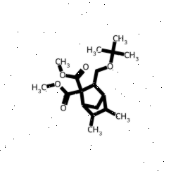 COC(=O)C1(C(=O)OC)C2CC(C(C)C2C)C1COC(C)(C)C